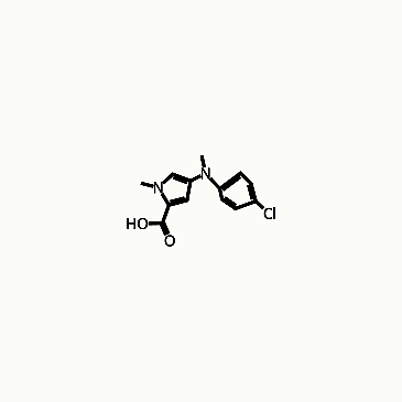 CN(c1ccc(Cl)cc1)c1cc(C(=O)O)n(C)c1